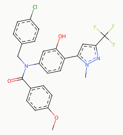 COc1ccc(C(=O)N(Cc2ccc(Cl)cc2)c2ccc(-c3cc(C(F)(F)F)nn3C)c(O)c2)cc1